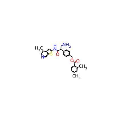 Cc1ccc(C(=O)OCc2ccc(C(CN)C(=O)Nc3cc4c(C)cncc4s3)cc2)c(C)c1